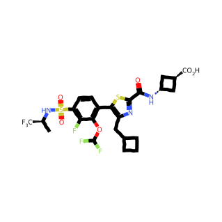 C[C@H](NS(=O)(=O)c1ccc(-c2sc(C(=O)N[C@H]3C[C@H](C(=O)O)C3)nc2CC2CCC2)c(OC(F)F)c1F)C(F)(F)F